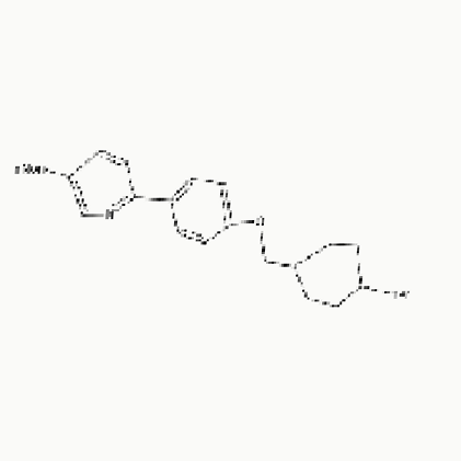 CCCCCCCCCc1ccc(-c2ccc(OCC3CCC(CCC)CC3)cc2)nc1